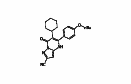 CCCCOc1ccc(-c2[nH]c3cc(C#N)nn3c(=O)c2C2CCCCC2)cc1